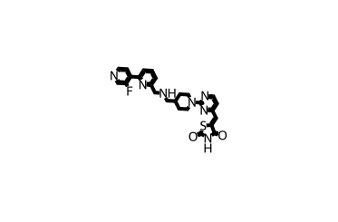 O=C1NC(=O)C(=Cc2ccnc(N3CCC(CNCc4cccc(-c5ccncc5F)n4)CC3)n2)S1